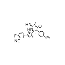 CC(C)c1ccc(C2C(=O)N(C)C(=N)N[C@]2(C)c2ncc(-c3ccc(F)c(C#N)c3)s2)cc1